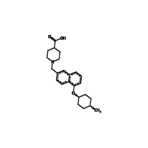 C[C@H]1CC[C@@H](Oc2cccc3cc(CN4CCC(C(=O)O)CC4)ccc23)CC1